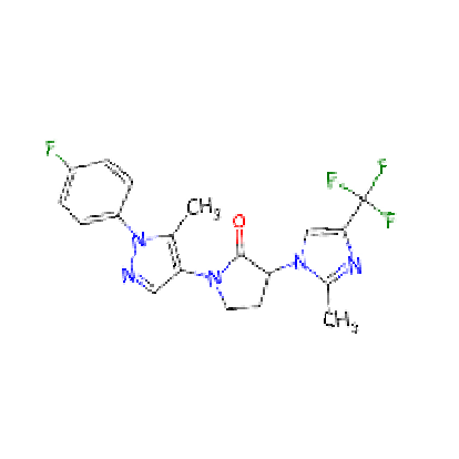 Cc1nc(C(F)(F)F)cn1C1CCN(c2cnn(-c3ccc(F)cc3)c2C)C1=O